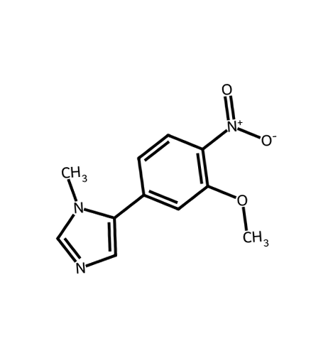 COc1cc(-c2cncn2C)ccc1[N+](=O)[O-]